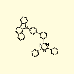 c1ccc(-c2nc(-c3ccccc3)nc(-c3cccc(-c4ccc(-n5c6ccccc6c6ccc7ccccc7c65)cc4)c3)n2)cc1